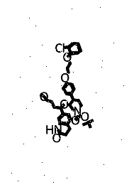 COCCCC(OC1CN(C(=O)OC(C)(C)C)CCC1c1ccc(OCCCOc2ccccc2Cl)cc1)c1ccc2c(c1)NC(=O)CC2